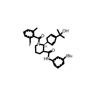 Cc1cccc(F)c1C(=O)N1CCCC(C(=O)Nc2cccc(C(C)(C)C)c2)[C@@H]1C1C=CC(C(C)(C)O)=CC1